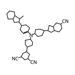 CC1C2CCCCC2CC1C1CC=C(N(C2CCC(C3CC(C#N)CC(C#N)C3)CC2)C2CCC(C3CC4CCC(C#N)CC4C3)CC2)CC1